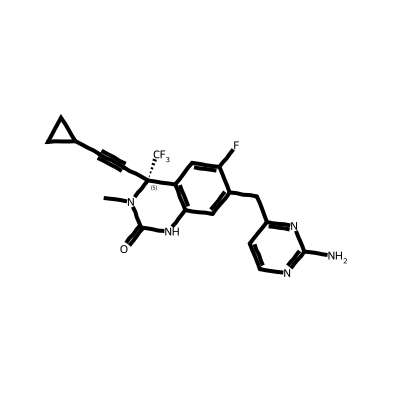 CN1C(=O)Nc2cc(Cc3ccnc(N)n3)c(F)cc2[C@@]1(C#CC1CC1)C(F)(F)F